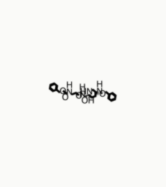 O=C(NCCONC(O)[C@@H]1CC[C@@H](NOCc2ccccc2)CN1)OCc1ccccc1